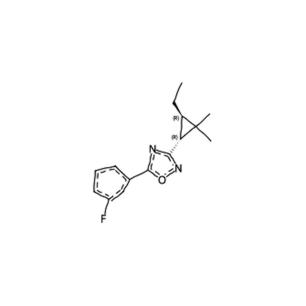 CC[C@@H]1[C@@H](c2noc(-c3cccc(F)c3)n2)C1(C)C